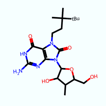 CC1C(CO)OC(n2c(=O)n(CCC(C)(C)C(C)(C)C)c3c(=O)[nH]c(N)nc32)C1O